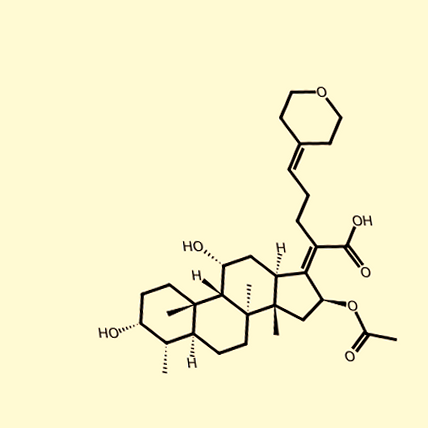 CC(=O)O[C@H]1C[C@@]2(C)[C@@H](C[C@@H](O)[C@H]3[C@@]4(C)CC[C@@H](O)[C@@H](C)[C@@H]4CC[C@@]32C)/C1=C(\CCC=C1CCOCC1)C(=O)O